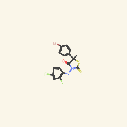 CC1(c2ccc(Br)cc2)SC(=S)N(Nc2ccc(F)cc2F)C1=O